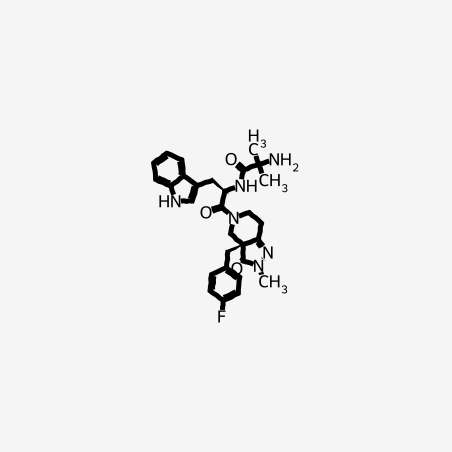 CN1N=C2CCN(C(=O)[C@@H](Cc3c[nH]c4ccccc34)NC(=O)C(C)(C)N)C[C@@]2(Cc2ccc(F)cc2)C1=O